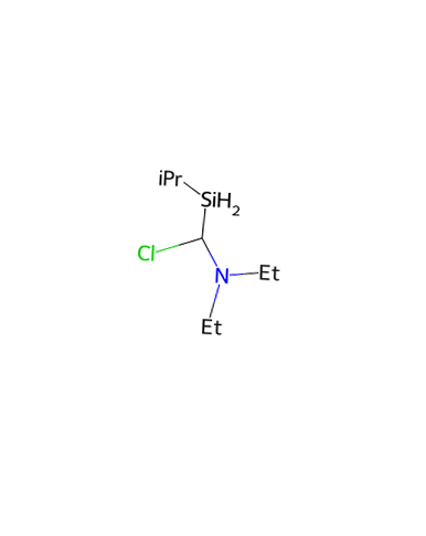 CCN(CC)C(Cl)[SiH2]C(C)C